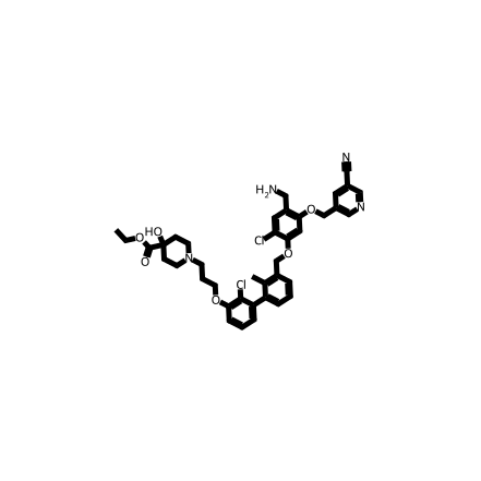 CCOC(=O)C1(O)CCN(CCCOc2cccc(-c3cccc(COc4cc(OCc5cncc(C#N)c5)c(CN)cc4Cl)c3C)c2Cl)CC1